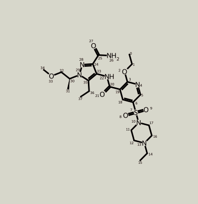 CCOc1ncc(S(=O)(=O)N2CCN(CC)CC2)cc1C(=O)Nc1c(C(N)=O)nn([C@@H](C)COC)c1CC